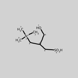 C[N+](C)(C)CC(CO)CS(=O)(=O)O